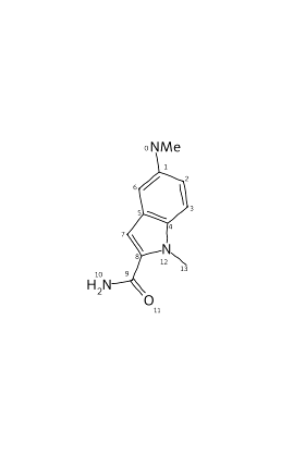 CNc1ccc2c(c1)cc(C(N)=O)n2C